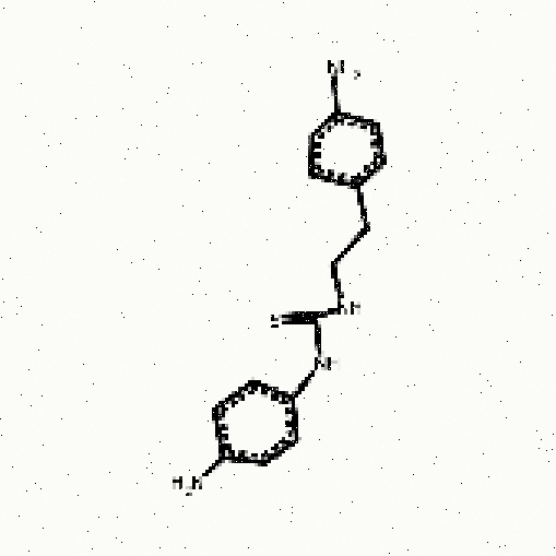 Nc1ccc(CCNC(=S)Nc2ccc(N)cc2)cc1